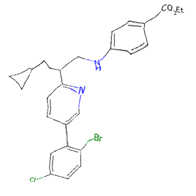 CCOC(=O)c1ccc(NCC(CC2CC2)c2ccc(-c3cc(Cl)ccc3Br)cn2)cc1